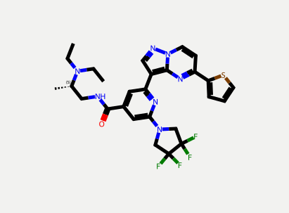 CCN(CC)[C@@H](C)CNC(=O)c1cc(-c2cnn3ccc(-c4cccs4)nc23)nc(N2CC(F)(F)C(F)(F)C2)c1